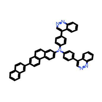 c1ccc2cc(-c3ccc4c(ccc5cc(N(c6ccc(-c7cnnc8ccccc78)cc6)c6ccc(-c7cnnc8ccccc78)cc6)ccc54)c3)ccc2c1